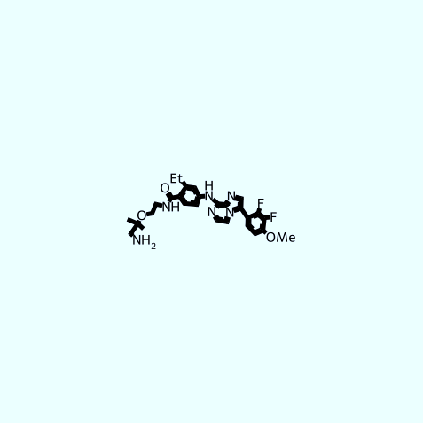 CCc1cc(Nc2nccn3c(-c4ccc(OC)c(F)c4F)cnc23)ccc1C(=O)NCCOC(C)(C)CN